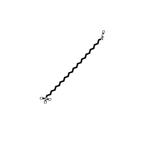 O=C=NCCCCCCCCCCCCCCCCCCCCCCCCC[Si](Cl)(Cl)Cl